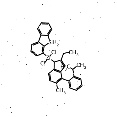 CCC1=Cc2c(ccc(C)c2-c2ccccc2C(C)C)[CH]1[Zr]([Cl])([Cl])[c]1cccc2c1[SiH2]c1ccccc1-2